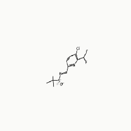 CC(C)(C)[S@@+]([O-])N=Cc1ccc(Cl)c(C(F)F)n1